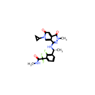 CNC(=O)C(F)(F)c1cccc([C@@H](C)Nc2nn(C)c(=O)c3cc(=O)n(C4CC4)cc23)c1F